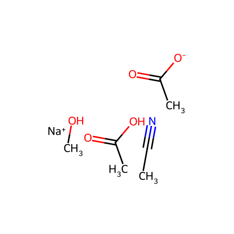 CC#N.CC(=O)O.CC(=O)[O-].CO.[Na+]